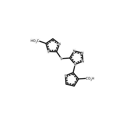 O=C(O)c1cnc(Sc2nnnn2-c2sccc2C(=O)O)s1